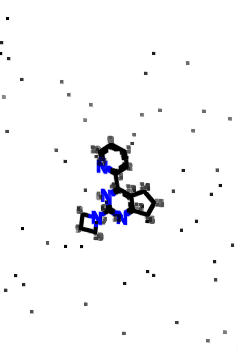 c1ccc(-c2nc(N3CCC3)nc3c2CCC3)nc1